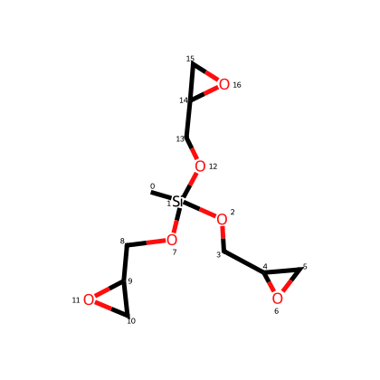 C[Si](OCC1CO1)(OCC1CO1)OCC1CO1